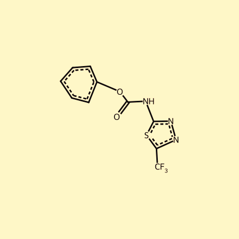 O=C(Nc1nnc(C(F)(F)F)s1)Oc1ccccc1